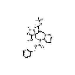 COC(=O)C1(C(=O)OC)CN(C(=O)OCc2ccccc2)c2ccccc2CN1C(=O)OC(C)(C)C